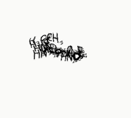 CC(C)CC1(C)NC(=N)N(Cc2ccc(CNC(=O)Nc3ccc(F)c(F)c3)cc2)C1=O